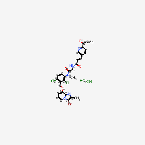 CNC(=O)c1ccc(C=CC(=O)NCC(=O)N(C)c2ccc(Cl)c(COc3cccn4c(Br)c(C)nc34)c2Cl)cn1.Cl.Cl